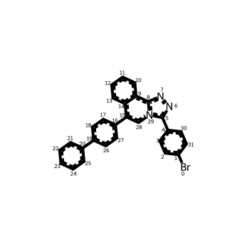 Brc1ccc(-c2nnc3c4ccccc4c(-c4ccc(-c5ccccc5)cc4)cn23)cc1